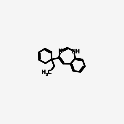 CCC1(C2=Cc3ccccc3NC=N2)C=CC=CC1